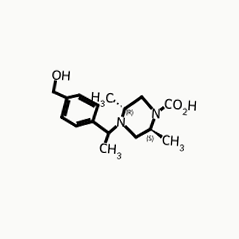 CC(c1ccc(CO)cc1)N1C[C@H](C)N(C(=O)O)C[C@H]1C